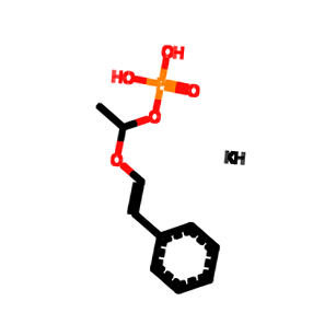 CC(OC=Cc1ccccc1)OP(=O)(O)O.[KH]